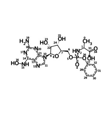 CC(N[P@@](=O)(OC[C@H]1O[C@@H](n2cnc3c(NO)nc(N)nc32)[C@H](O)[C@@H]1O)Oc1ccccc1)C(=O)O